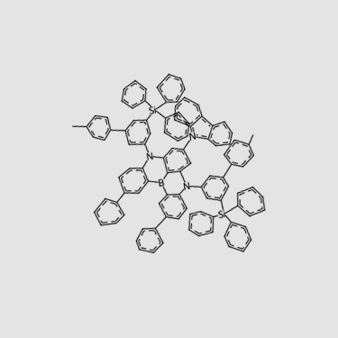 Cc1ccc(-c2cc(N3c4ccc(-c5ccccc5)cc4B4c5cc(-c6ccccc6)ccc5N(c5cc(-c6ccc(C)cc6)cc([Si](c6ccccc6)(c6ccccc6)c6ccccc6)c5)c5cc(-n6c7ccccc7c7ccccc76)cc3c54)cc([Si](c3ccccc3)(c3ccccc3)c3ccccc3)c2)cc1